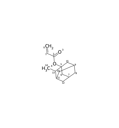 C=CC(=O)OC12CC3CC(CC(C3)C1C)C2